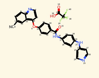 N#Cc1ccc2nccc(Oc3ccc(C(=O)Nc4ccc(Nc5ccncc5)cc4)cc3)c2c1.O=C(O)C(F)(F)F